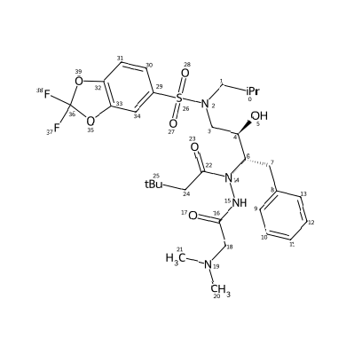 CC(C)CN(C[C@@H](O)[C@H](Cc1ccccc1)N(NC(=O)CN(C)C)C(=O)CC(C)(C)C)S(=O)(=O)c1ccc2c(c1)OC(F)(F)O2